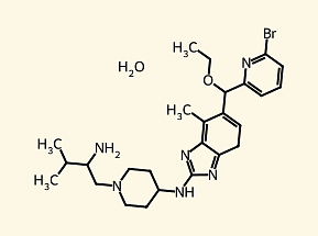 CCOC(C1=CCC2=NC(NC3CCN(CC(N)C(C)C)CC3)=NC2=C1C)c1cccc(Br)n1.O